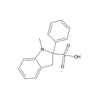 CN1c2ccccc2CC1(c1ccccc1)S(=O)(=O)O